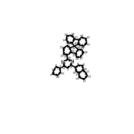 c1ccc(-c2cc(-c3ccc4ccccc4c3)nc(-c3cccc4c3-c3ccccc3C43c4ccccc4-c4ccccc43)n2)cc1